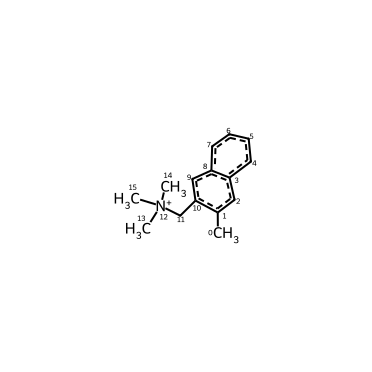 Cc1cc2ccccc2cc1C[N+](C)(C)C